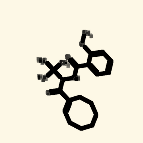 COc1ccccc1C(=O)NN(C(=O)/C1=C/CCCCCC1)C(C)(C)C